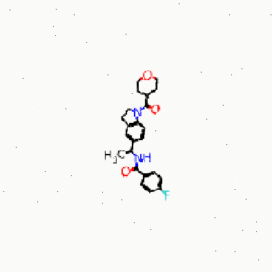 CC(NC(=O)c1ccc(F)cc1)c1ccc2c(c1)CCN2C(=O)C1CCOCC1